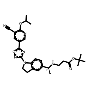 CC(C)Oc1ncc(-c2nc(N3CCc4cc([C@H](C)NCCC(=O)OC(C)(C)C)ccc43)no2)cc1C#N